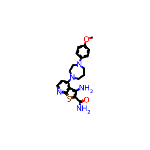 COc1ccc(N2CCCN(c3ccnc4sc(C(N)=O)c(N)c34)CC2)cc1